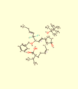 CC/C=C/C(F)(F)C(/C=C/[C@H]1[C@H](O[Si](C)(C)C(C)(C)C)CC(=O)[C@@H]1C/C=C\CCC(C(=O)O)C(C)C)OCc1ccccc1